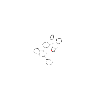 c1ccc(-c2nc(-c3ccc4c(c3)C3(c5ccccc5Oc5ccccc53)c3ccccc3-4)c3ccccc3n2)cc1